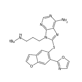 CC(C)(C)NCCCn1c(Sc2cc3ccoc3cc2-c2ncco2)nc2c(N)ncnc21